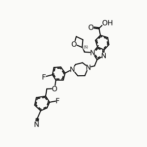 N#Cc1ccc(COc2cc(N3CCN(Cc4nc5ccc(C(=O)O)cc5n4C[C@@H]4CCO4)CC3)ccc2F)c(F)c1